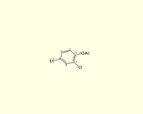 CCc1ccc(OC(C)=O)c(Cl)c1